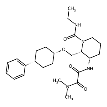 CCNC(=O)N1CCC[C@H](NC(=O)C(=O)N(C)C)[C@@H]1CO[C@H]1CC[C@@H](c2ccccc2)CC1